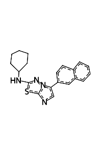 c1ccc2cc(-c3cnc4sc(NC5CCCCC5)nn34)ccc2c1